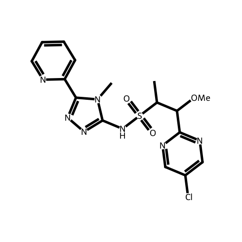 COC(c1ncc(Cl)cn1)C(C)S(=O)(=O)Nc1nnc(-c2ccccn2)n1C